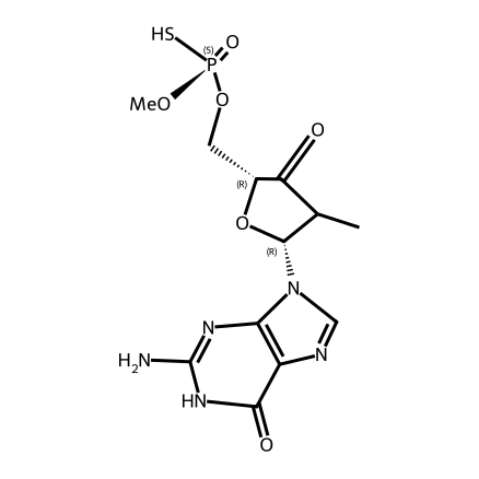 CO[P@](=O)(S)OC[C@H]1O[C@@H](n2cnc3c(=O)[nH]c(N)nc32)C(C)C1=O